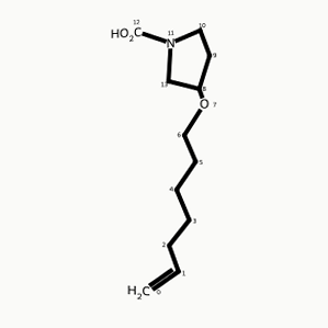 C=CCCCCCOC1CCN(C(=O)O)C1